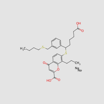 CCCCSCc1cccc(C(CCCCC(=O)O)Sc2ccc3c(=O)cc(C(=O)O)oc3c2CCC)c1.[Na].[Na]